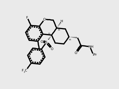 CC(C)NC(=O)C[C@@H]1CC[C@@]2(S(=O)(=O)c3ccc(C(F)(F)F)cc3)c3c(F)ccc(F)c3OC[C@H]2C1